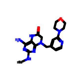 CCCCNc1nc(N)c2c(n1)N(Cc1ccnc(N3CCOCC3)c1)CC(=O)N2